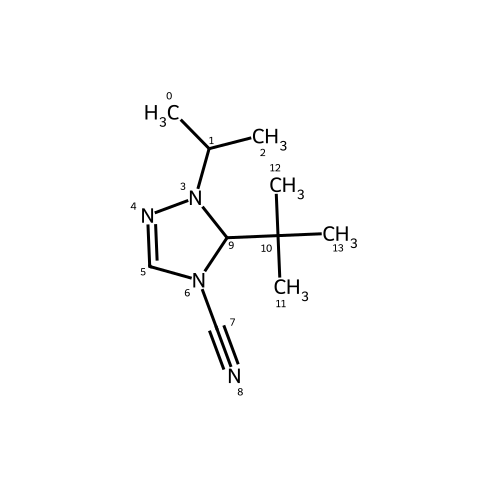 CC(C)N1N=CN(C#N)C1C(C)(C)C